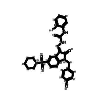 O=C1/C(=N\NC(=S)Nc2ccccc2F)c2cc(S(=O)(=O)N3CCCCC3)ccc2N1Cc1ccc(Cl)cc1